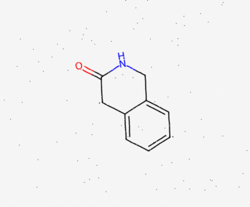 O=C1[CH]c2cc[c]cc2CN1